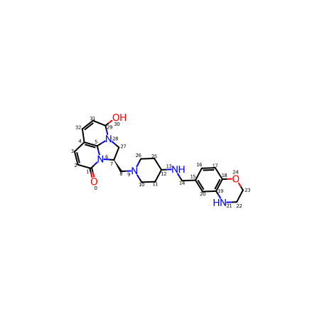 O=c1ccc2c3n1[C@H](CN1CCC(NCc4ccc5c(c4)NCCO5)CC1)CN3C(O)C=C2